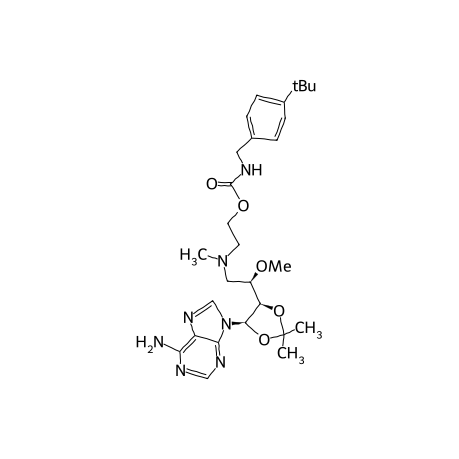 CO[C@H](CN(C)CCOC(=O)NCc1ccc(C(C)(C)C)cc1)[C@H]1OC(C)(C)O[C@H]1n1cnc2c(N)ncnc21